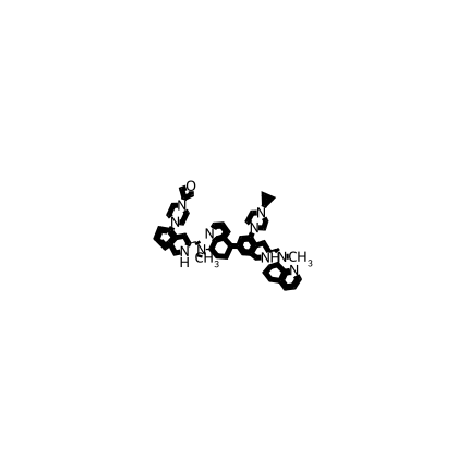 CN(C[C@@H]1Cc2c(cc(C3CC[C@H](N(C)C[C@H]4Cc5c(cccc5N5CCN(C6COC6)CC5)CN4)c4ncccc43)cc2N2CCN(C3CC3)CC2)CN1)[C@H]1CCCc2cccnc21